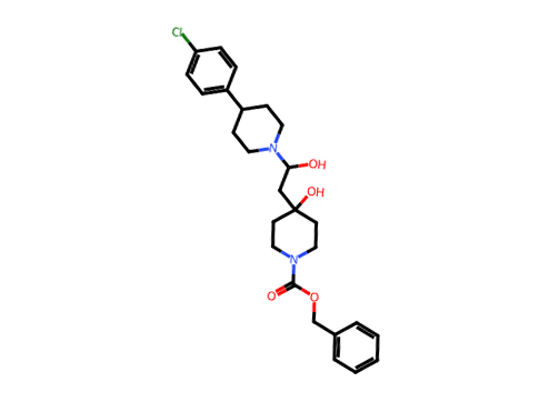 O=C(OCc1ccccc1)N1CCC(O)(CC(O)N2CCC(c3ccc(Cl)cc3)CC2)CC1